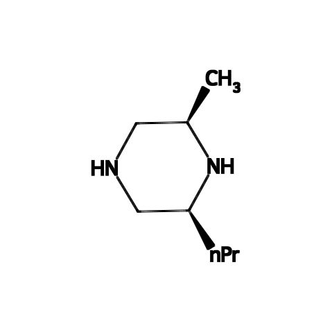 CCC[C@H]1CNC[C@@H](C)N1